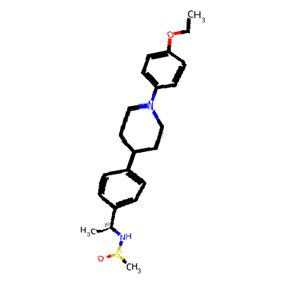 CCOc1ccc(N2CCC(c3ccc([C@H](C)N[S+](C)[O-])cc3)CC2)cc1